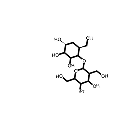 CC(C)C1C(CO)OC(OC2C(O)C(O)[C@H](O)C[C@H]2CO)C(CO)C1O